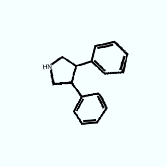 c1ccc(C2CNCC2c2ccccc2)cc1